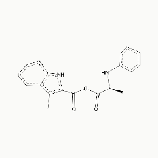 Cc1c(C(=O)OC(=O)[C@H](C)Nc2ccccc2)[nH]c2ccccc12